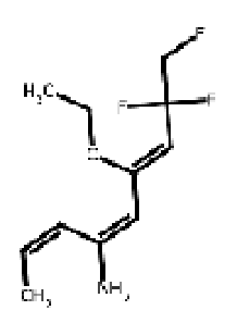 C\C=C/C(N)=C\C(=C\C(F)(F)CF)OCC